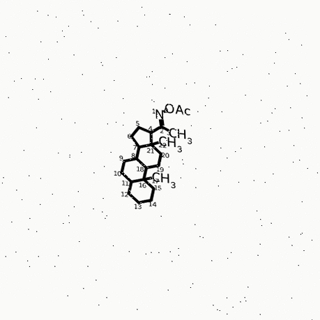 CC(=O)O/N=C(\C)C1CCC2C3CCC4CCCCC4(C)C3CCC12C